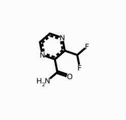 NC(=O)c1nccnc1C(F)F